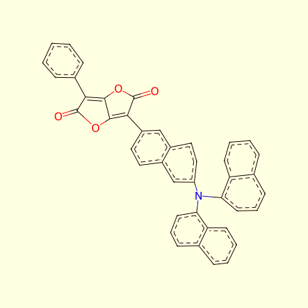 O=C1OC2=C(c3ccc4cc(N(c5cccc6ccccc56)c5cccc6ccccc56)ccc4c3)C(=O)OC2=C1c1ccccc1